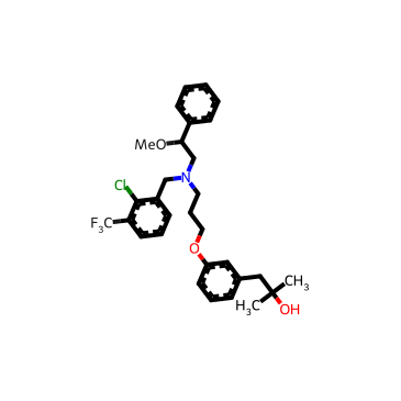 COC(CN(CCCOc1cccc(CC(C)(C)O)c1)Cc1cccc(C(F)(F)F)c1Cl)c1ccccc1